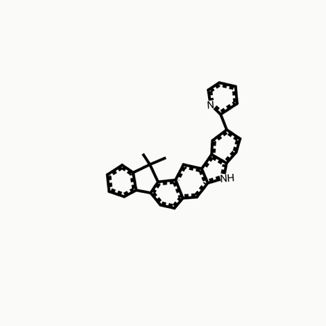 CC1(C)c2ccccc2-c2ccc3cc4[nH]c5ccc(-c6ccccn6)cc5c4cc3c21